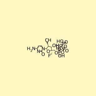 C#C[C@@H]1C(n2ccc(N)nc2=O)O[C@](CF)(COP(=O)(O)OP(=O)(O)OP(=O)(O)O)[C@H]1O